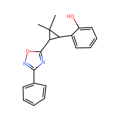 CC1(C)C(c2nc(-c3ccccc3)no2)C1c1ccccc1O